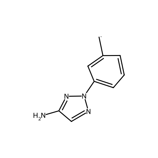 [CH2]c1cccc(-n2ncc(N)n2)c1